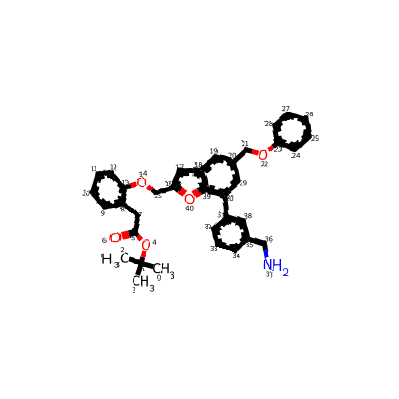 CC(C)(C)OC(=O)Cc1ccccc1OCc1cc2cc(COc3ccccc3)cc(-c3cccc(CN)c3)c2o1